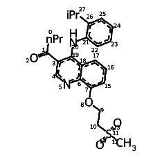 CCCC(=O)c1cnc2c(OCCS(C)(=O)=O)cccc2c1Nc1ccccc1C(C)C